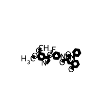 COc1cc2nccc(Oc3ccc(NC(=O)c4cc5c(n(-c6ccccc6)c4=O)CCCC5=O)cc3F)c2cc1OC